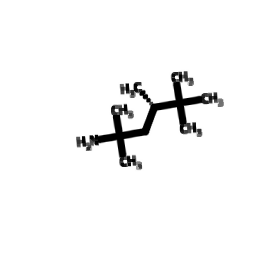 C[C@@H](CC(C)(C)N)C(C)(C)C